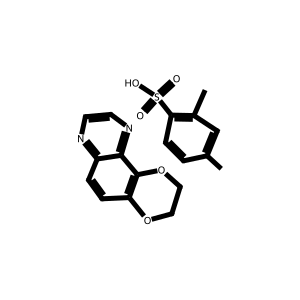 Cc1ccc(S(=O)(=O)O)c(C)c1.c1cnc2c3c(ccc2n1)OCCO3